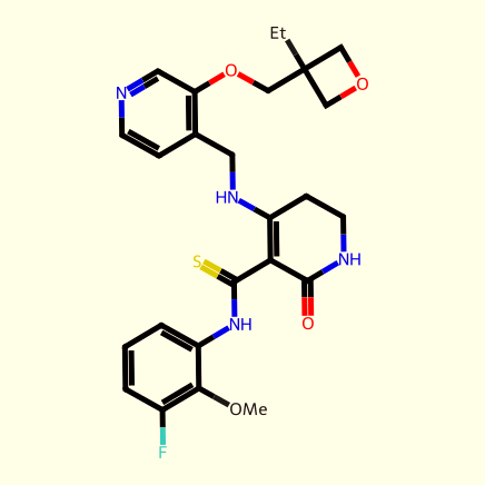 CCC1(COc2cnccc2CNC2=C(C(=S)Nc3cccc(F)c3OC)C(=O)NCC2)COC1